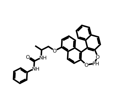 CC(COc1cccc2c1ccc1o[pH]oc3ccc4ccccc4c3c12)NC(=O)Nc1ccccc1